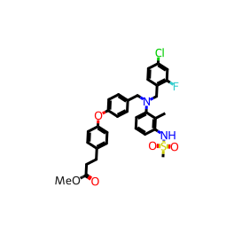 COC(=O)CCc1ccc(Oc2ccc(CN(Cc3ccc(Cl)cc3F)c3cccc(NS(C)(=O)=O)c3C)cc2)cc1